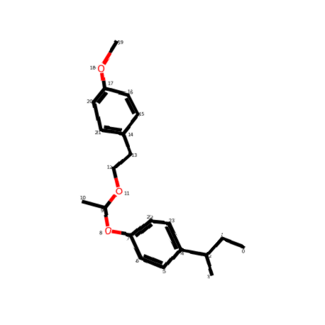 CCC(C)c1ccc(OC(C)OCCc2ccc(OC)cc2)cc1